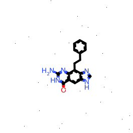 Nc1nc2c(CCc3ccccc3)c3nc[nH]c3cc2c(=O)[nH]1